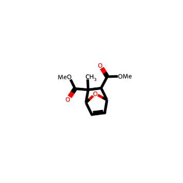 COC(=O)C1C2C=CC(O2)C1(C)C(=O)OC